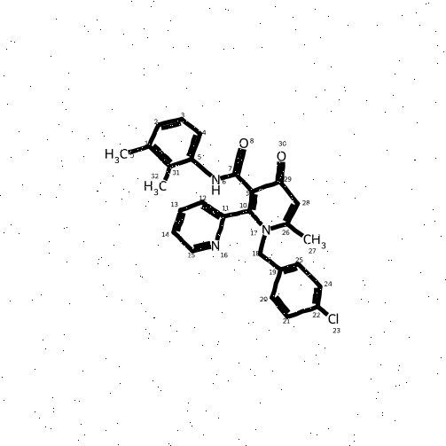 Cc1cccc(NC(=O)c2c(-c3ccccn3)n(Cc3ccc(Cl)cc3)c(C)cc2=O)c1C